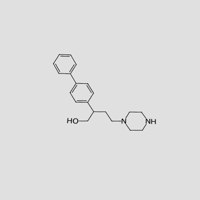 OCC(CCN1CCNCC1)c1ccc(-c2ccccc2)cc1